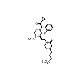 CCOC(=O)CCCN1CCN(C/C=C2\CN(C(C(=O)C3CC3)c3ccccc3F)CCC2SC(C)=O)C(=O)C1